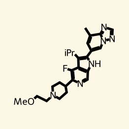 COCCN1CCC(c2ncc3[nH]c(-c4cc(C)c5ncnn5c4)c(C(C)C)c3c2F)CC1